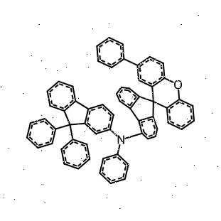 c1ccc(-c2ccc3c(c2)C2(c4ccccc4O3)c3ccccc3-c3c(N(c4ccccc4)c4ccc5c(c4)C(c4ccccc4)(c4ccccc4)c4ccccc4-5)cccc32)cc1